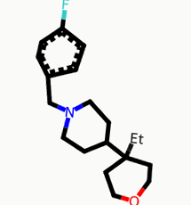 CCC1(C2CCN(Cc3ccc(F)cc3)CC2)CCOCC1